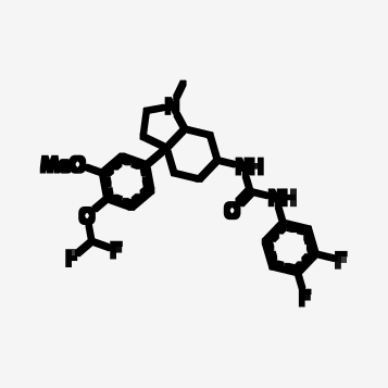 COc1cc(C23CCC(NC(=O)Nc4ccc(F)c(F)c4)CC2N(C)CC3)ccc1OC(F)F